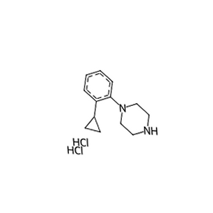 Cl.Cl.c1ccc(N2CCNCC2)c(C2CC2)c1